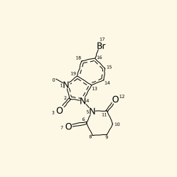 Cn1c(=O)n(N2C(=O)CCCC2=O)c2ccc(Br)cc21